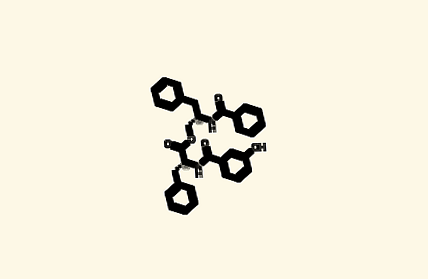 O=C(N[C@H](COC(=O)[C@@H](Cc1ccccc1)NC(=O)c1cccc(O)c1)Cc1ccccc1)c1ccccc1